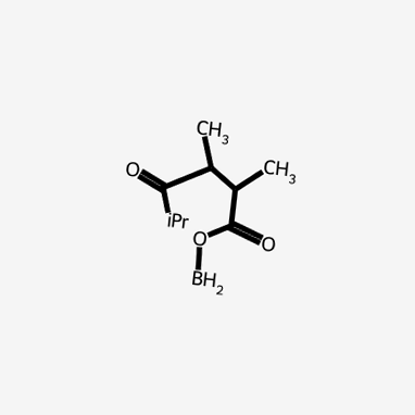 BOC(=O)C(C)C(C)C(=O)C(C)C